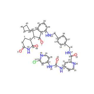 O=C1CCC(C2C(=O)c3c(NCc4ccc(CNC(=O)c5cc(NC(=O)Nc6ccnc(Cl)c6)ccn5)cc4)cccc3C2=C2CCC2)C(=O)N1